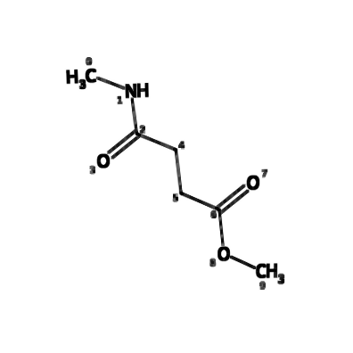 CNC(=O)CCC(=O)OC